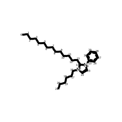 CCCCCCCCCCCCCCC1N(CCCCCC)C=CN1c1ccccc1